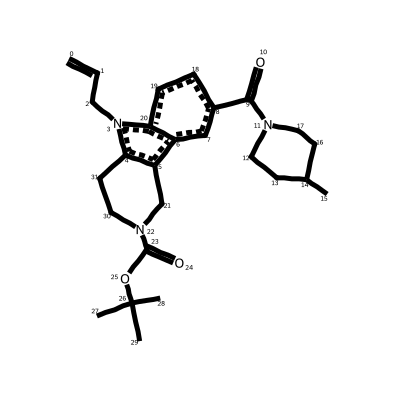 C=CCn1c2c(c3cc(C(=O)N4CCC(C)CC4)ccc31)CN(C(=O)OC(C)(C)C)CC2